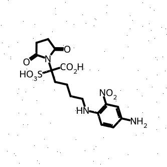 Nc1ccc(NCCCCC(C(=O)O)(N2C(=O)CCC2=O)S(=O)(=O)O)c([N+](=O)[O-])c1